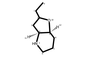 CCC1C[C@@H]2NCCC[C@@H]2O1